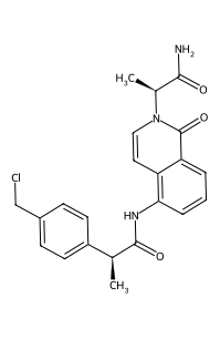 C[C@H](C(=O)Nc1cccc2c(=O)n([C@@H](C)C(N)=O)ccc12)c1ccc(CCl)cc1